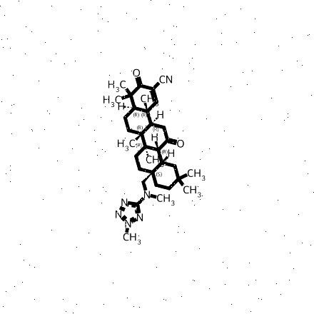 CN(C[C@]12CCC(C)(C)C[C@H]1[C@H]1C(=O)C[C@@H]3[C@@]4(C)C=C(C#N)C(=O)C(C)(C)[C@@H]4CC[C@@]3(C)[C@]1(C)CC2)c1nnn(C)n1